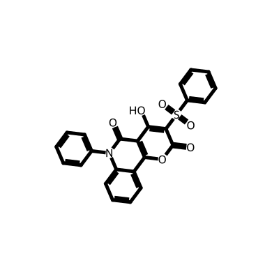 O=c1oc2c(c(O)c1S(=O)(=O)c1ccccc1)c(=O)n(-c1ccccc1)c1ccccc21